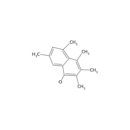 Cc1cc(C)c2c(C)c(C)c(C)c([O])c2c1